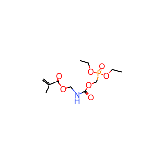 C=C(C)C(=O)OCNC(=O)OCP(=O)(OCC)OCC